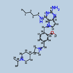 CCCCCNc1nc(N)nc2ccn(Cc3ccc(CN4CC(C5CCN(C(C)C)CC5)C4)cc3OC)c12